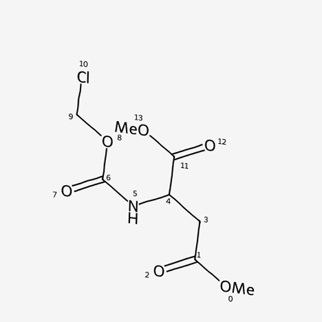 COC(=O)CC(NC(=O)OCCl)C(=O)OC